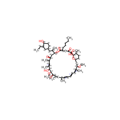 CCCCCC1CC(=O)C(=O)C2(O)OC(CCC2C)CC(OC)\C(C)=C/C=C/C=C/C(C)CC(C)C(=O)C(OC)C(O)/C(C)=C\C(C)C(=O)CC(C(C)CC2CCC(O)C(CC)C2)OC1=O